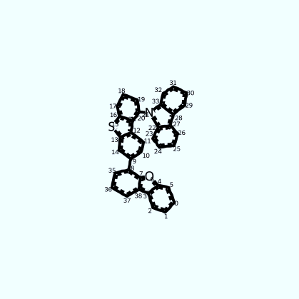 c1ccc2c(c1)oc1c(-c3ccc4c(c3)sc3cccc(-n5c6ccccc6c6ccccc65)c34)cccc12